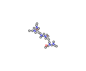 c1ccc(-c2ccc(N(c3ccccc3-c3ccccc3-c3ccc4cc(-n5c6ccccc6c6cc(N(c7ccccc7)c7cccc(-c8cccc(-c9ccc(N(c%10ccc%11c(c%10)oc%10ccccc%10%11)c%10ccc%11c%12cc%13ccccc%13cc%12n(-c%12ccccc%12)c%11c%10)cc9)c8)c7-c7ccccc7)c7ccccc7c65)ccc4c3)c3cc4c5ccccc5n(-c5ccc6ccccc6c5)c4c4ccccc34)cc2)cc1